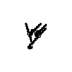 CCCCCCCCOC(CCCCCN(CCCCCC(OCCCCCCCC)O[Si](C)(C)O[Si](C)(C)CCCCCCCC)CCC1CCCN1C)O[Si](C)(C)O[Si](C)(C)CCCCCCCC